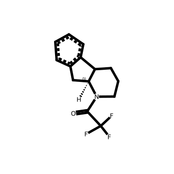 O=C(N1CCCC2c3ccccc3C[C@@H]21)C(F)(F)F